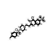 Cc1ccc(S(=O)(=O)N2CCN(CCc3nc4ccc(S(C)(=O)=O)cc4c(=O)n3C)CC2)cc1